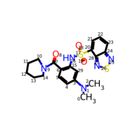 CN(C)c1ccc(C(=O)N2CCCCC2)c(NS(=O)(=O)c2cccc3nsnc23)c1